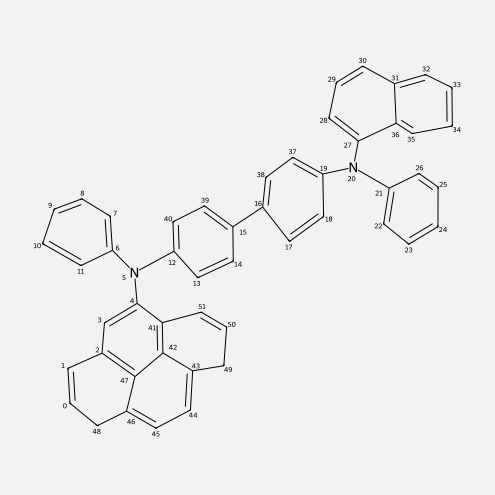 C1=Cc2cc(N(c3ccccc3)c3ccc(-c4ccc(N(c5ccccc5)c5cccc6ccccc56)cc4)cc3)c3c4c(ccc(c24)C1)CC=C3